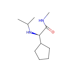 CNC(=O)[C@H](NC(C)C)C1CCCC1